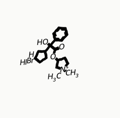 Br.C[N+]1(C)CCC(OC(=O)C(O)(c2ccccc2)C2CCCC2)C1.I